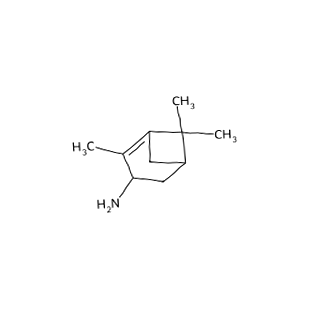 CC1=C2CC(CC1N)C2(C)C